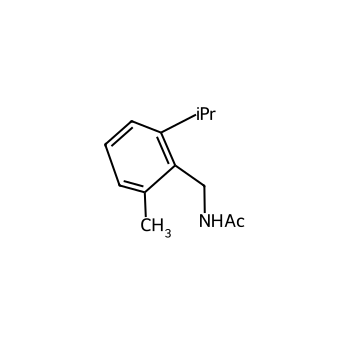 CC(=O)NCc1c(C)cccc1C(C)C